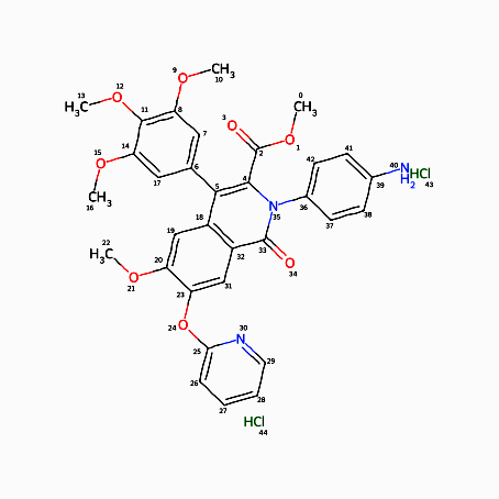 COC(=O)c1c(-c2cc(OC)c(OC)c(OC)c2)c2cc(OC)c(Oc3ccccn3)cc2c(=O)n1-c1ccc(N)cc1.Cl.Cl